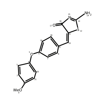 COc1ccc(Oc2ccc(/C=C3/SC(N)=NC3=O)cc2)cc1